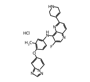 Cc1cc(Nc2c(F)cnc3ccc(C4=CCNCC4)nc23)ccc1Oc1ccn2ncnc2c1.Cl